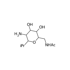 CC(=O)NCC1OC(C(C)C)C(N)C(O)C1O